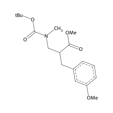 COC(=O)C(Cc1cccc(OC)c1)CN(C)C(=O)OC(C)(C)C